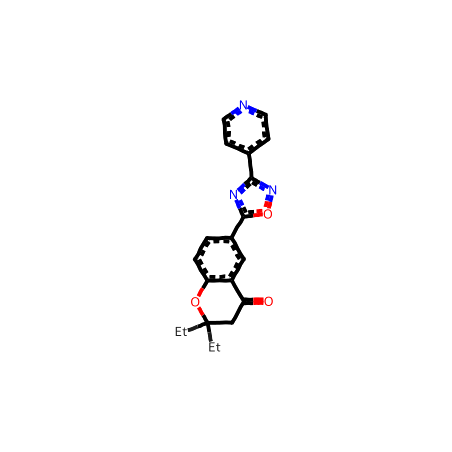 CCC1(CC)CC(=O)c2cc(-c3nc(-c4ccncc4)no3)ccc2O1